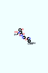 COc1cc2nccc(Oc3ccc(NC(=O)c4cc5c(n(C(O)CC(C)C)c4=O)CCCC5=O)nc3)c2cc1OC